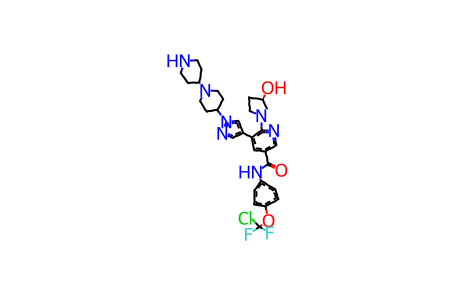 O=C(Nc1ccc(OC(F)(F)Cl)cc1)c1cnc(N2CC[C@@H](O)C2)c(-c2cnn(C3CCN(C4CCNCC4)CC3)c2)c1